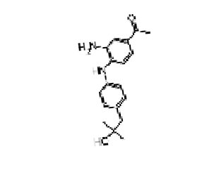 CC(=O)c1ccc(Nc2ccc(CC(C)(C)O)cc2)c(N)c1